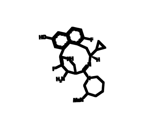 CNC1CCCCN(/C2=N/[C@H](C3CC3)Cc3c(F)ccc4cc(O)cc(c34)C3=C(F)C(N)C2CN3)C1